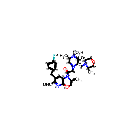 CC1COc2nc(C=O)c(Cc3ccc(F)cc3)cc2N1C(=O)CN1C[C@@H](C)N(C(=O)O)C[C@@H]1CN1[C@H](C)COC[C@H]1C